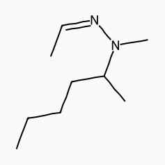 C/C=N\N(C)C(C)CCCC